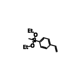 C=Cc1ccc([Si](C)(OCC)OCC)cc1